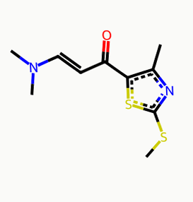 CSc1nc(C)c(C(=O)/C=C/N(C)C)s1